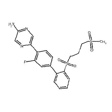 CS(=O)(=O)CCCS(=O)(=O)c1ccccc1-c1ccc(-c2cnc(N)cn2)c(F)c1